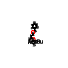 CC(=O)C[C@@H](CCOCc1ccccc1)O[Si](C)(C)C(C)(C)C